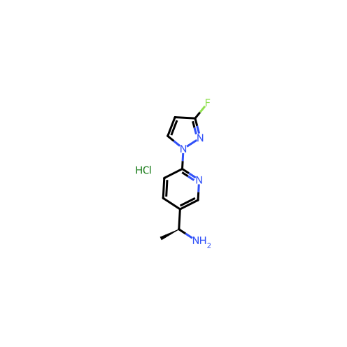 C[C@H](N)c1ccc(-n2ccc(F)n2)nc1.Cl